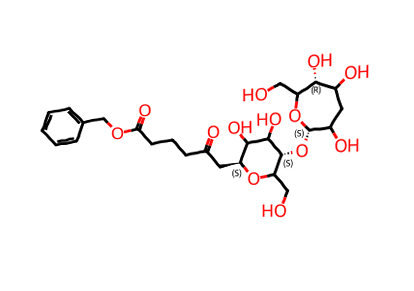 O=C(CCCC(=O)OCc1ccccc1)C[C@@H]1OC(CO)[C@@H](O[C@@H]2OC(CO)[C@H](O)C(O)CC2O)C(O)C1O